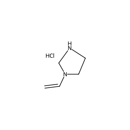 C=CN1CCNC1.Cl